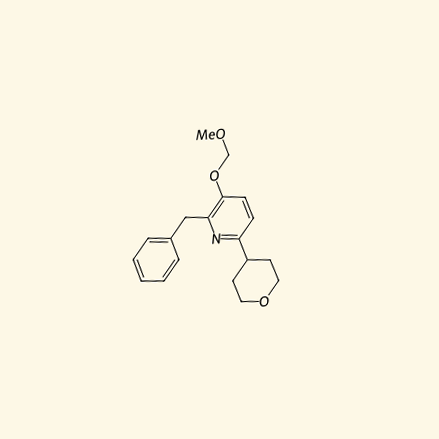 COCOc1ccc(C2CCOCC2)nc1Cc1ccccc1